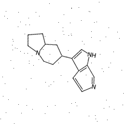 c1cc2c(C3CCN4CCCC4C3)c[nH]c2cn1